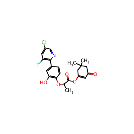 CC(Oc1ccc(-c2ncc(Cl)cc2F)cc1O)C(=O)OC1=CC(=O)CC(C)(C)C1